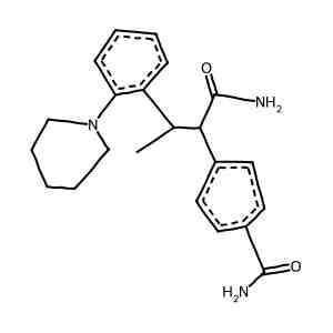 CC(c1ccccc1N1CCCCC1)C(C(N)=O)c1ccc(C(N)=O)cc1